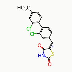 O=C1NC(=O)/C(=C\c2ccc(-c3ccc(C(=O)O)cc3Cl)c(Cl)c2)S1